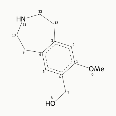 COc1cc2c(cc1CO)CCNCC2